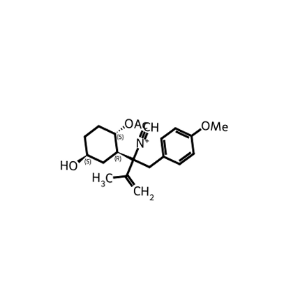 C#[N+]C(Cc1ccc(OC)cc1)(C(=C)C)[C@H]1C[C@@H](O)CC[C@@H]1OC(C)=O